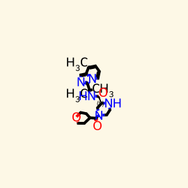 Cc1cccn2c(C(C)(C)NC(=O)[C@@H]3CN(C(=O)C4CCOCC4)CCN3)ncc12